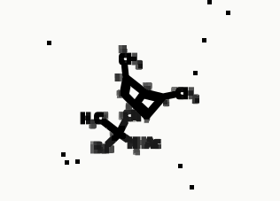 CCC(C)C(C)(C#N)NC(C)=O.Cc1cc2cc(C)c1-2